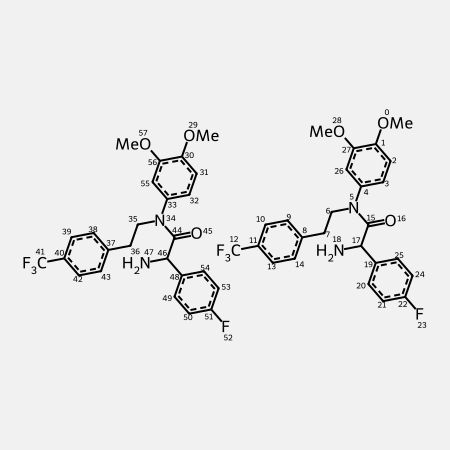 COc1ccc(N(CCc2ccc(C(F)(F)F)cc2)C(=O)C(N)c2ccc(F)cc2)cc1OC.COc1ccc(N(CCc2ccc(C(F)(F)F)cc2)C(=O)C(N)c2ccc(F)cc2)cc1OC